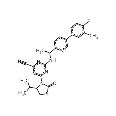 Cc1cc(-c2ccc([C@H](C)Nc3nc(C#N)nc(N4C(=O)SCC4C(C)C)n3)nc2)ccc1F